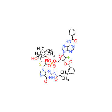 CC(C)C(=O)Nc1nc2c(ncn2[C@@H]2S[C@H](CO)[C@@H](O[Si](C)(C)C(C)(C)C)[C@H]2OP(=O)(O)OC[C@H]2O[C@@H](n3cnc4c(NC(=O)c5ccccc5)ncnc43)[C@@H](F)[C@@H]2OC(=O)c2ccccc2)c(=O)[nH]1